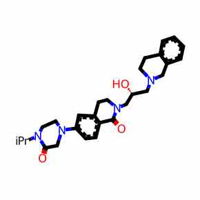 CC(C)N1CCN(c2ccc3c(c2)CCN(C[C@H](O)CN2CCc4ccccc4C2)C3=O)CC1=O